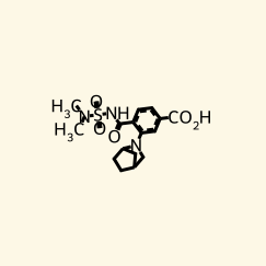 CN(C)S(=O)(=O)NC(=O)c1ccc(C(=O)O)cc1N1CC2CCC1C2